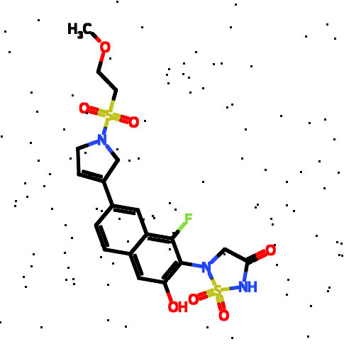 COCCS(=O)(=O)N1CC=C(c2ccc3cc(O)c(N4CC(=O)NS4(=O)=O)c(F)c3c2)C1